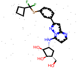 OC[C@H]1C[C@@H](Nc2ccnc3cc(-c4cccc(SC(F)(F)C5CCC5)c4)nn23)[C@H](O)[C@@H]1O